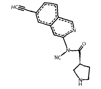 C#Cc1ccc2cnc(N(C#N)C(=O)[C@H]3CCNC3)cc2c1